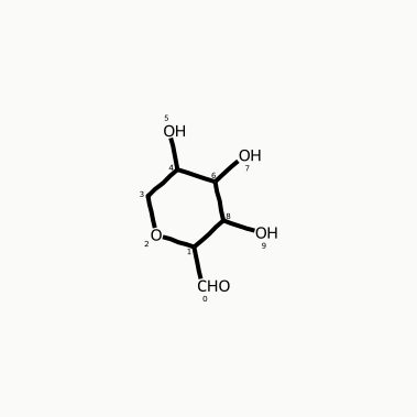 O=CC1OCC(O)C(O)C1O